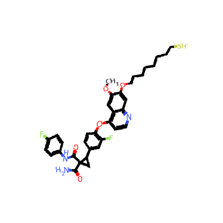 COc1cc2c(Oc3ccc(C4CC4(C(N)=O)C(=O)Nc4ccc(F)cc4)cc3F)ccnc2cc1OCCCCCCCCS